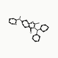 Cc1nc2cc(N(C)c3ccccn3)ccc2c(=O)n1C(c1ccccc1)c1ccccc1